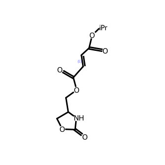 CC(C)OC(=O)/C=C/C(=O)OCC1COC(=O)N1